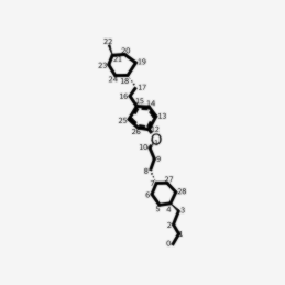 CCCC[C@H]1CC[C@H](CCCOc2ccc(CC[C@H]3CC[C@H](C)CC3)cc2)CC1